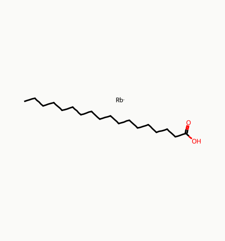 CCCCCCCCCCCCCCCCCC(=O)O.[Rb]